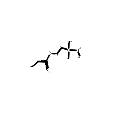 CCC(=O)OCC[Si](C)(C)OC